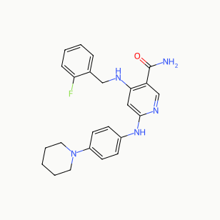 NC(=O)c1cnc(Nc2ccc(N3CCCCC3)cc2)cc1NCc1ccccc1F